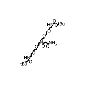 CC(C)(C)OC(=O)NCCOCCOCCN(CCOCCOCCNC(=O)OC(C)(C)C)C(=O)CC(N)=O